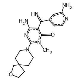 Cn1c(N2CCC3(CCOC3)CC2)nc(N)c(C(=N)c2ccnc(N)c2)c1=O